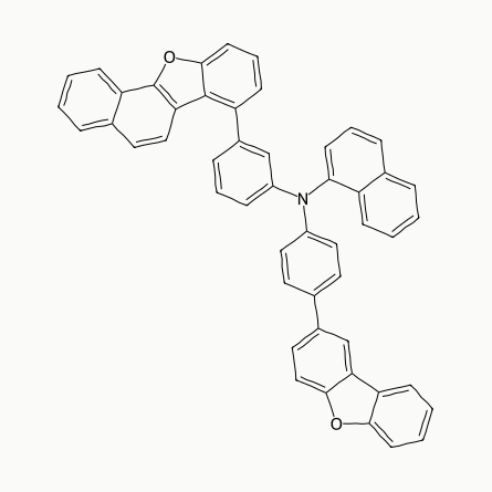 c1cc(-c2cccc3oc4c5ccccc5ccc4c23)cc(N(c2ccc(-c3ccc4oc5ccccc5c4c3)cc2)c2cccc3ccccc23)c1